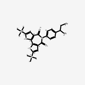 CC(C)CC(c1ccc(-n2c(=O)c3cc(S(C)(C)C)sc3c3sc(S(C)(C)C)cc3c2=O)cc1)C(C)C